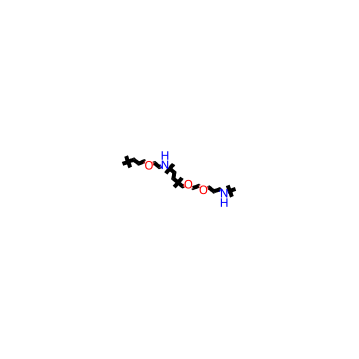 CC(C)(C)CCCOCCNC(C)(C)CCC(C)(C)COCCOCCCNC(C)(C)C